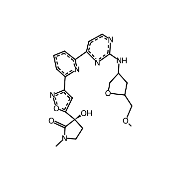 COCC1CC(Nc2nccc(-c3cccc(-c4cc([C@]5(O)CCN(C)C5=O)on4)n3)n2)CO1